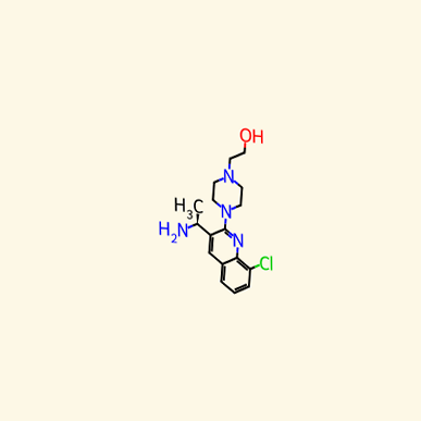 C[C@H](N)c1cc2cccc(Cl)c2nc1N1CCN(CCO)CC1